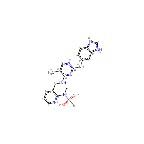 CN(c1ncccc1CNc1nc(Nc2ccc3nc[nH]c3c2)ncc1C(F)(F)F)S(C)(=O)=O